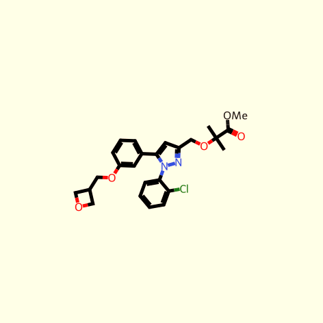 COC(=O)C(C)(C)OCc1cc(-c2cccc(OCC3COC3)c2)n(-c2ccccc2Cl)n1